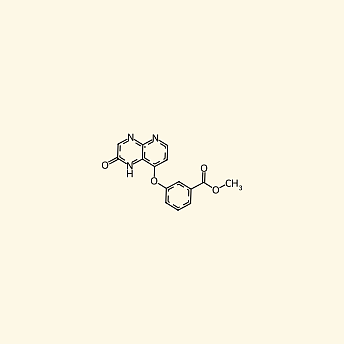 COC(=O)c1cccc(Oc2ccnc3ncc(=O)[nH]c23)c1